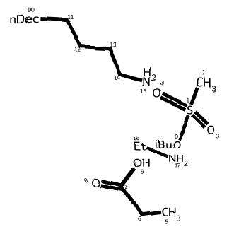 CC(C)COS(C)(=O)=O.CCC(=O)O.CCCCCCCCCCCCCCN.CCN